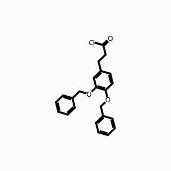 O=C(Cl)CCc1ccc(OCc2ccccc2)c(OCc2ccccc2)c1